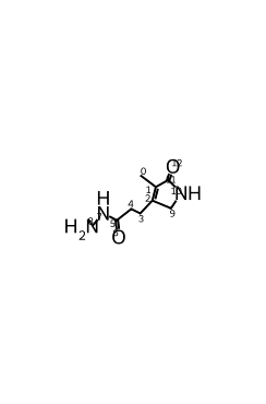 CC1=C(CCC(=O)NN)CNC1=O